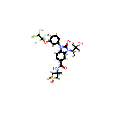 C[C@@H](n1c(=O)n(-c2cccc(OC(F)(F)C(F)F)c2)c2ccc(C(=O)NC3(C)CS(=O)(=O)C3)cc21)C(C)(C)O